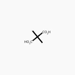 [CH2]C(C)(C(=O)O)C(=O)O